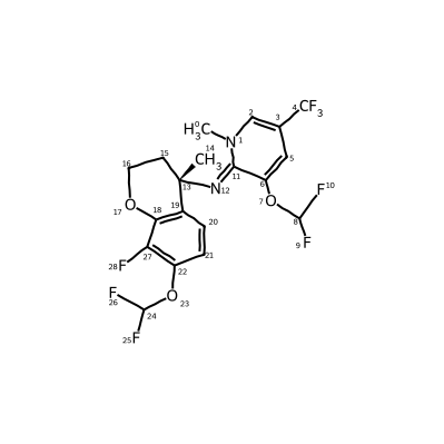 Cn1cc(C(F)(F)F)cc(OC(F)F)/c1=N/[C@@]1(C)CCOc2c1ccc(OC(F)F)c2F